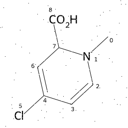 CN1C=CC(Cl)=CC1C(=O)O